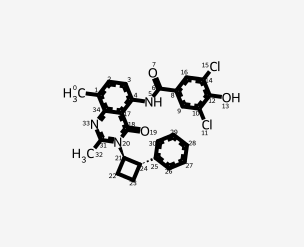 Cc1ccc(NC(=O)c2cc(Cl)c(O)c(Cl)c2)c2c(=O)n([C@@H]3CC[C@H]3c3ccccc3)c(C)nc12